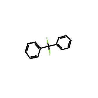 FC(F)(c1cc[c]cc1)c1ccccc1